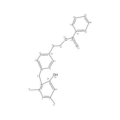 Cc1cc(C)c(Cc2ccc(CCOC(=O)c3ccccc3)cc2)c(O)c1